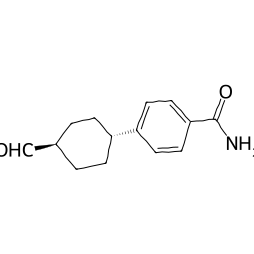 NC(=O)c1ccc([C@H]2CC[C@H](C=O)CC2)cc1